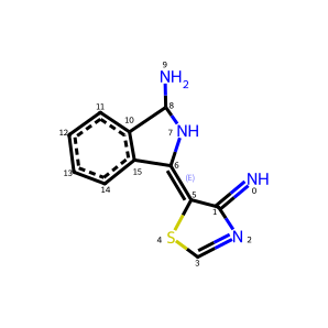 N=C1N=CS/C1=C1/NC(N)c2ccccc21